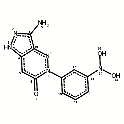 Nc1n[nH]c2cc(=O)n(-c3cccc(N(O)O)c3)nc12